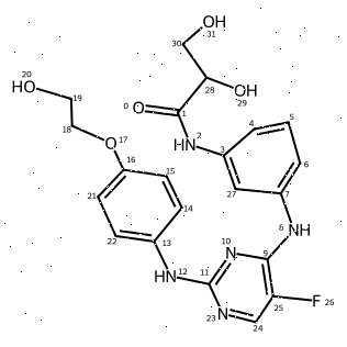 O=C(Nc1cccc(Nc2nc(Nc3ccc(OCCO)cc3)ncc2F)c1)C(O)CO